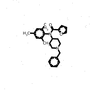 Cc1cc(C)c(N(C(=O)c2ccco2)C2CCN(Cc3ccccc3)CC2)c(C)c1